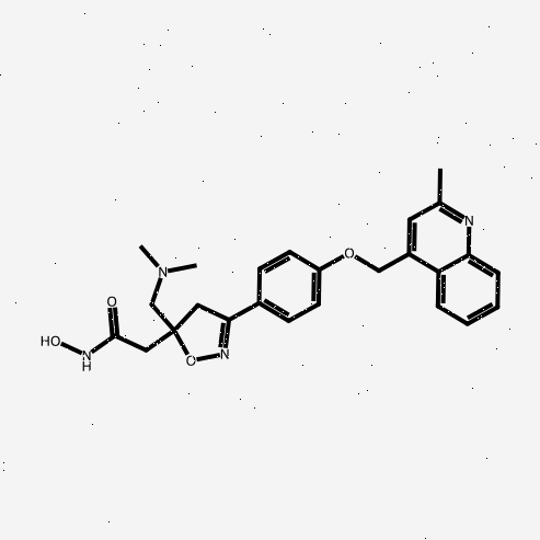 Cc1cc(COc2ccc(C3=NOC(CC(=O)NO)(CN(C)C)C3)cc2)c2ccccc2n1